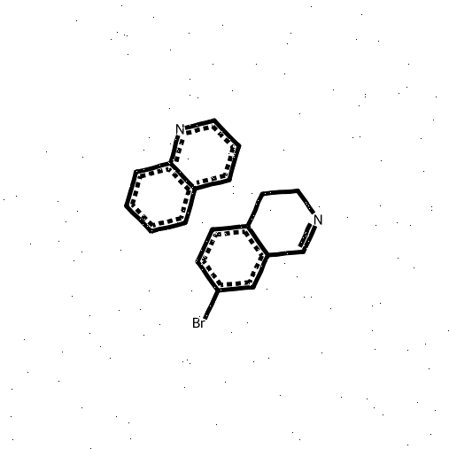 Brc1ccc2c(c1)C=NCC2.c1ccc2ncccc2c1